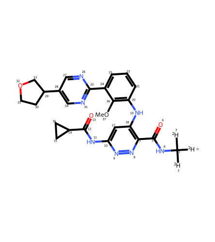 [2H]C([2H])([2H])NC(=O)c1nnc(NC(=O)C2CC2)cc1Nc1cccc(-c2ncc(C3CCOC3)cn2)c1OC